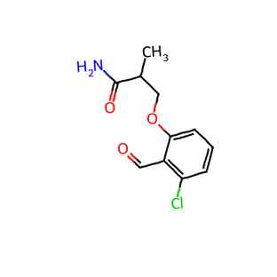 CC(COc1cccc(Cl)c1C=O)C(N)=O